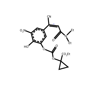 CCOC(=O)C1(OC(=O)Oc2cc(/C(C#N)=C\C(=O)N(CC)CC)cc([N+](=O)[O-])c2O)CC1